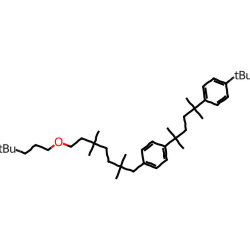 CC(C)(C)CCCOCCC(C)(C)CCC(C)(C)Cc1ccc(C(C)(C)CCC(C)(C)c2ccc(C(C)(C)C)cc2)cc1